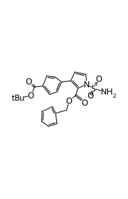 CC(C)(C)OC(=O)c1ccc(-c2ccn(S(N)(=O)=O)c2C(=O)OCc2ccccc2)cc1